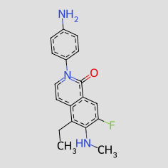 CCc1c(NC)c(F)cc2c(=O)n(-c3ccc(N)cc3)ccc12